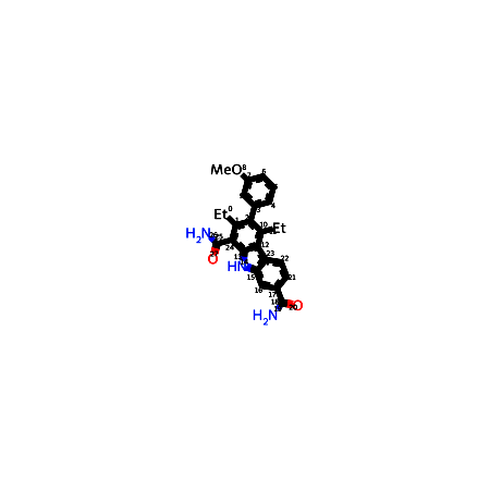 CCc1c(-c2cccc(OC)c2)c(CC)c2c([nH]c3cc(C(N)=O)ccc32)c1C(N)=O